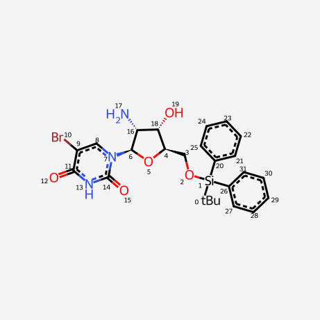 CC(C)(C)[Si](OC[C@H]1O[C@@H](n2cc(Br)c(=O)[nH]c2=O)[C@H](N)[C@@H]1O)(c1ccccc1)c1ccccc1